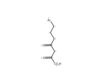 CC(=O)CCCC(=O)CC(=O)C(=O)O